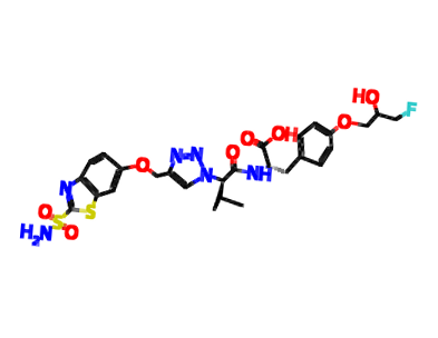 CC(C)[C@H](C(=O)N[C@@H](Cc1ccc(OCC(O)CF)cc1)C(=O)O)n1cc(COc2ccc3nc(S(N)(=O)=O)sc3c2)nn1